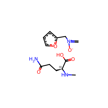 C=[N+]([O-])Cc1ccco1.CN[C@@H](CCC(N)=O)C(=O)O